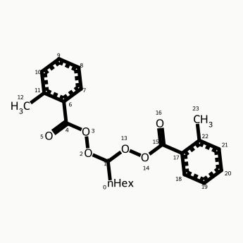 [CH2]CCCCC[C](OOC(=O)c1ccccc1C)OOC(=O)c1ccccc1C